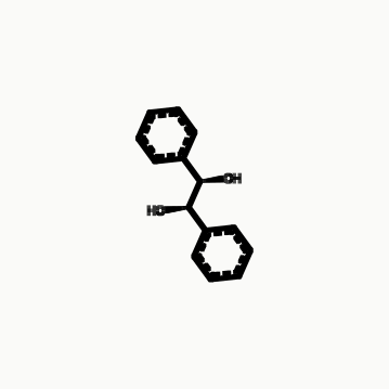 O[C@H](c1ccccc1)[C@H](O)c1ccccc1